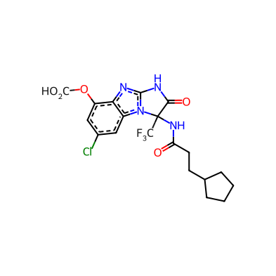 O=C(CCC1CCCC1)NC1(C(F)(F)F)C(=O)Nc2nc3c(OC(=O)O)cc(Cl)cc3n21